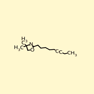 CCCCCCCCCC1=NC(C)(C)CO1